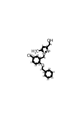 Cc1cc(CO)nn1Cc1cc(Cl)ccc1OCc1ccccc1